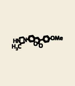 COc1ccc(-c2cc3ccc(N4CCN[C@H](C)C4)cc3oc2=O)cc1